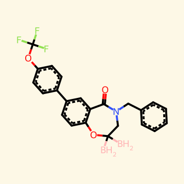 BC1(B)CN(Cc2ccccc2)C(=O)c2cc(-c3ccc(OC(F)(F)F)cc3)ccc2O1